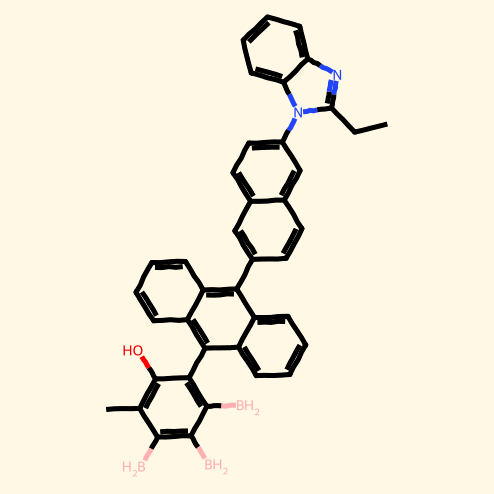 Bc1c(B)c(C)c(O)c(-c2c3ccccc3c(-c3ccc4cc(-n5c(CC)nc6ccccc65)ccc4c3)c3ccccc23)c1B